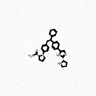 NC(=O)[C@@H]1CCCN1c1ccc(CC(c2ccccc2)c2ccc(-c3cnc([C@@H]4CCCN4)[nH]3)cc2)cc1